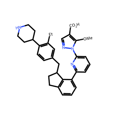 CCc1cc(CC2CCc3cccc(-c4cccc(-n5ncc(C(=O)O)c5OC)n4)c32)ccc1C1CCNCC1